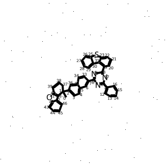 CC1(c2ccc3cc(-c4nc(-c5ccccc5)nc(-c5cccc6sc7ccccc7c56)n4)ccc3c2)CC=Cc2oc3ccccc3c21